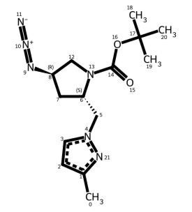 Cc1ccn(C[C@@H]2C[C@@H](N=[N+]=[N-])CN2C(=O)OC(C)(C)C)n1